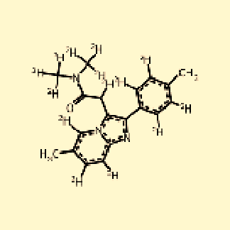 [2H]c1c([2H])c(-c2nc3c([2H])c([2H])c(C)c([2H])n3c2C([2H])C(=O)N(C([2H])([2H])[2H])C([2H])([2H])[2H])c([2H])c([2H])c1C